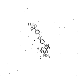 COC(=O)c1ccc(COc2ccc(-c3noc(OC(N)=O)c3C)cc2)cc1